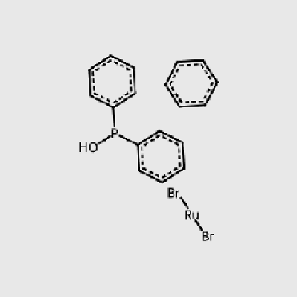 OP(c1ccccc1)c1ccccc1.[Br][Ru][Br].c1ccccc1